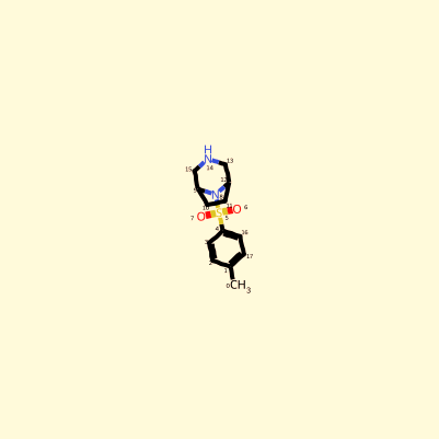 Cc1ccc(S(=O)(=O)N2C3CCC2CNC3)cc1